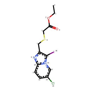 CCOC(=O)CSCc1nc2ccc(Cl)cn2c1I